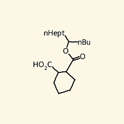 CCCCCCCC(CCCC)OC(=O)C1CCCCC1C(=O)O